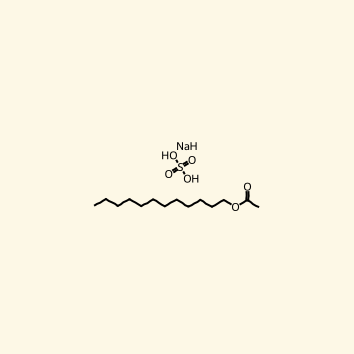 CCCCCCCCCCCCOC(C)=O.O=S(=O)(O)O.[NaH]